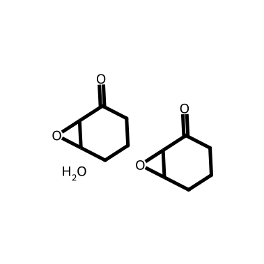 O.O=C1CCCC2OC12.O=C1CCCC2OC12